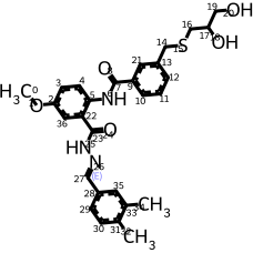 COc1ccc(NC(=O)c2cccc(CSCC(O)CO)c2)c(C(=O)N/N=C/c2ccc(C)c(C)c2)c1